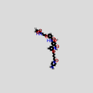 COc1cc(C(=O)N(C)c2ccc(C)cc2OCCCCCC(=O)N2CCC(N(C)C)CC2)ccc1NC(=O)c1cccc(OCCCNC(=O)OC(C)(C)C)c1